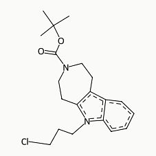 CC(C)(C)OC(=O)N1CCc2c(n(CCCCl)c3ccccc23)CC1